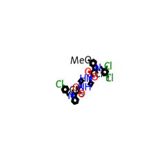 COc1ccc2c(c1)c(C(=O)C(=O)NC1CCC1)c(C(F)(F)F)n2Cc1ccc(Cl)cc1Cl.O=C(NC1CCC1)C(=O)c1c(C(F)(F)F)n(Cc2ccc(Cl)cc2)c2ccccc12